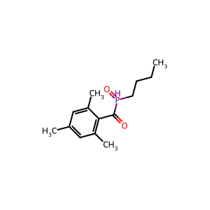 CCCC[PH](=O)C(=O)c1c(C)cc(C)cc1C